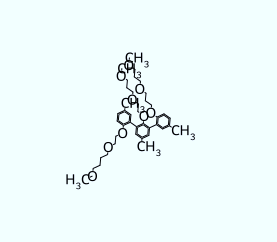 COCCCCOCCOc1ccc(C)cc1-c1cc(C)cc(-c2cc(C)ccc2OCCCOCCCOC)c1OCCOCCCOC